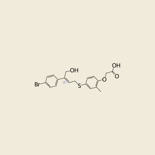 Cc1cc(SC/C=C(\CO)c2ccc(Br)cc2)ccc1OCC(=O)O